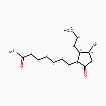 COC(=O)CCCCCCC1C(=O)CC(C(C)=O)C1CCC(=O)O